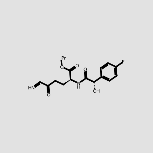 CC(C)OC(=O)[C@H](CCC(=O)C=N)NC(=O)[C@@H](O)c1ccc(F)cc1